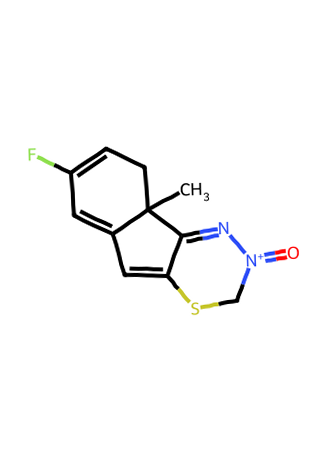 CC12CC=C(F)C=C1C=C1SC[N+](=O)N=C12